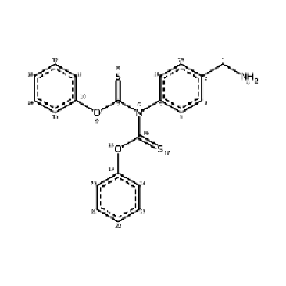 NCc1ccc(N(C(=S)Oc2ccccc2)C(=S)Oc2ccccc2)cc1